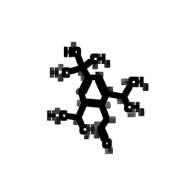 CC(C)c1cc(C(C)(C)O)cc(C(C)C)c1C[C]=O